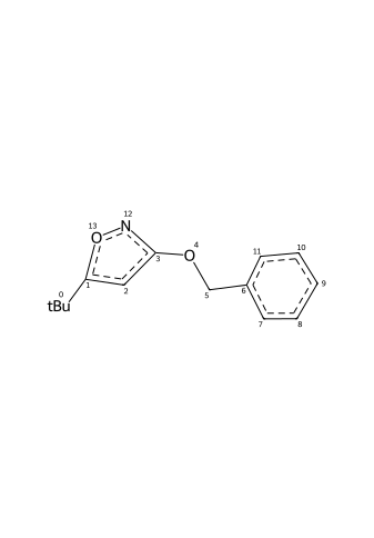 CC(C)(C)c1cc(OCc2ccccc2)no1